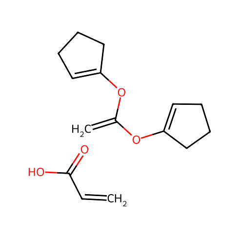 C=C(OC1=CCCC1)OC1=CCCC1.C=CC(=O)O